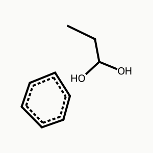 CCC(O)O.c1ccccc1